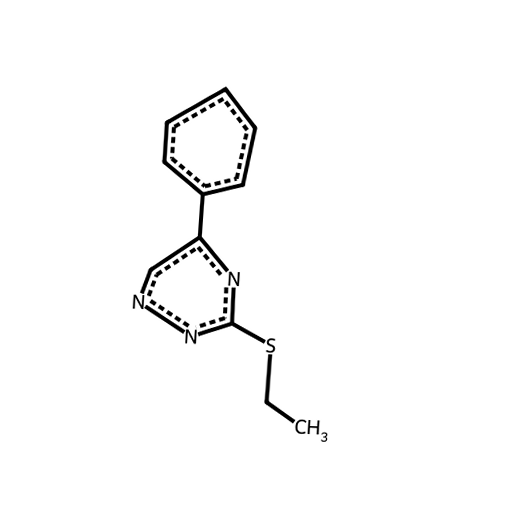 CCSc1nncc(-c2ccccc2)n1